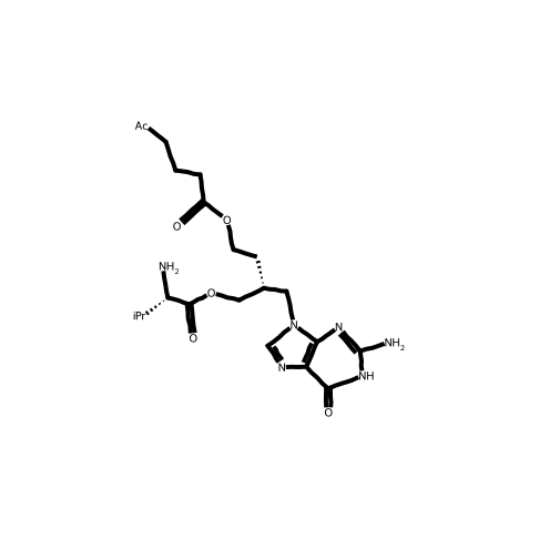 CC(=O)CCCC(=O)OCC[C@@H](COC(=O)[C@@H](N)C(C)C)Cn1cnc2c(=O)[nH]c(N)nc21